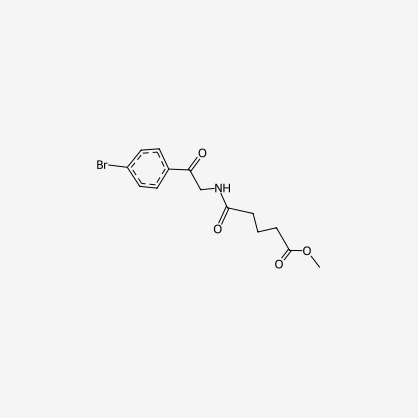 COC(=O)CCCC(=O)NCC(=O)c1ccc(Br)cc1